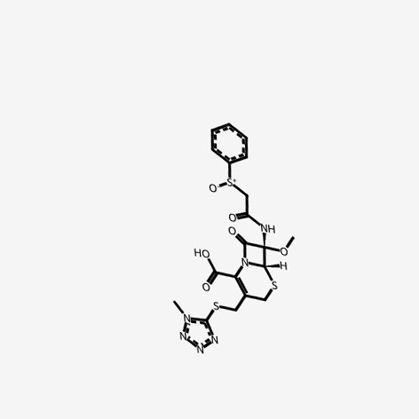 CO[C@@]1(NC(=O)C[S+]([O-])c2ccccc2)C(=O)N2C(C(=O)O)=C(CSc3nnnn3C)CS[C@H]21